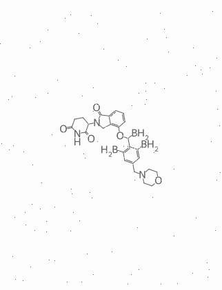 Bc1cc(CN2CCOCC2)cc(B)c1C(B)Oc1cccc2c1CN(C1CCC(=O)NC1=O)C2=O